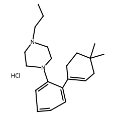 CCCN1CCN(c2ccccc2C2=CCC(C)(C)CC2)CC1.Cl